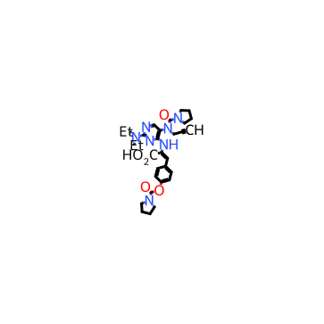 C#CCN(C(=O)N1CCCC1)c1cnc(N(CC)CC)nc1N/C(=C/c1ccc(OC(=O)N2CCCC2)cc1)C(=O)O